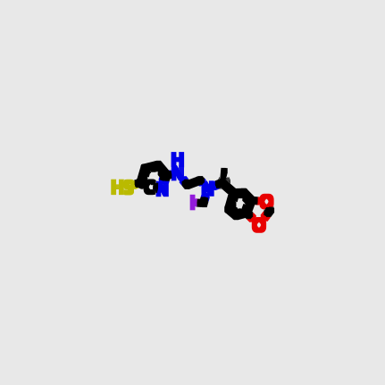 C[C@@H](c1ccc2c(c1)OCO2)N(CI)CCNc1ccc(S)cn1